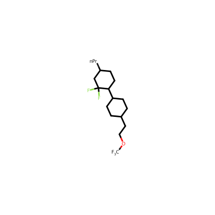 CCCC1CCC(C2CCC(CCOC(F)(F)F)CC2)C(F)(F)C1